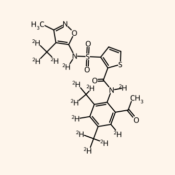 [2H]c1c(C(C)=O)c(N([2H])C(=O)c2sccc2S(=O)(=O)N([2H])c2onc(C)c2C([2H])([2H])[2H])c(C([2H])([2H])[2H])c([2H])c1C([2H])([2H])[2H]